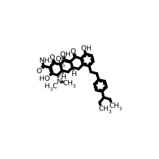 CCC(CC)c1ccc(CCc2ccc(O)c3c2C[C@H]2C[C@H]4[C@H](N(C)C)C(O)=C(C(N)=O)C(=O)[C@@]4(O)C(O)=C2C3=O)cc1